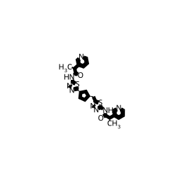 C[C@H](C(=O)Nc1nnc(C[C@@H]2CC[C@H](c3nnc(NC(=O)[C@@H](C)c4cccnc4)s3)C2)s1)c1cccnc1